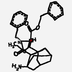 COC(=O)C12CC3CC(CC(N)(C3)C1C(=O)[C@H](Cc1ccccc1)NC(=O)OCc1ccccc1)C2